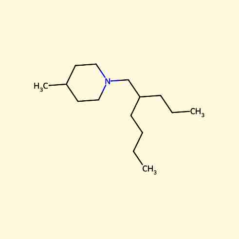 CCCCC(CCC)CN1CCC(C)CC1